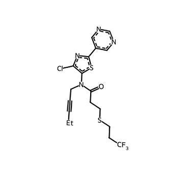 CCC#CCN(C(=O)CCSCCC(F)(F)F)c1sc(-c2cncnc2)nc1Cl